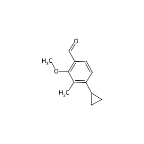 COc1c(C=O)ccc(C2CC2)c1C